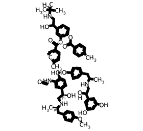 CC(Cc1ccc(O)cc1)NCC(O)c1cc(O)cc(O)c1.COc1ccc(C[C@@H](C)NC[C@H](O)c2ccc(O)c(NC=O)c2)cc1.Cc1ccc(C(=O)Oc2ccc(C(O)CNC(C)(C)C)cc2OC(=O)c2ccc(C)cc2)cc1